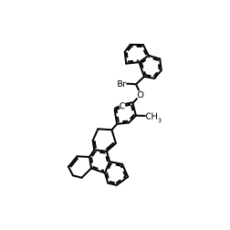 Cc1cc(C2C=c3c(c4c(c5ccccc35)CCC=C4)=CC2)ccc1OC(Br)c1cccc2ccccc12